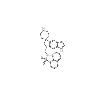 O=S1(=O)c2cccc3cccc(c23)N1CCCC1(c2ccc3[nH]ccc3c2)CCNCC1